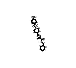 CC(C)(C)c1ccc(S(=O)(=O)N2CCC(c3nc(C(=O)NCC4CCCCC4)cs3)CC2)cc1